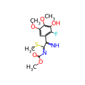 COC(=O)N=C(SC)C(=N)c1cc(OC)c(OC)c(O)c1F